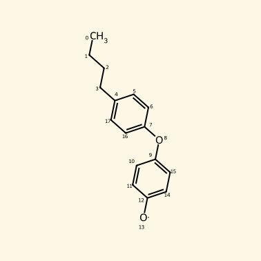 CCCCc1ccc(Oc2ccc([O])cc2)cc1